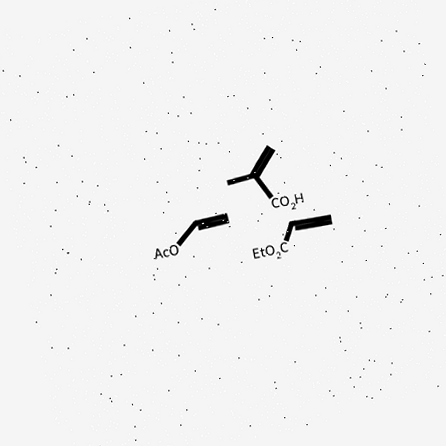 C=C(C)C(=O)O.C=CC(=O)OCC.C=COC(C)=O